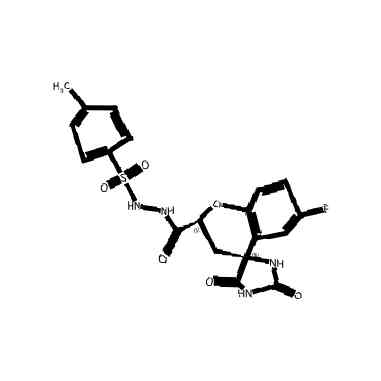 Cc1ccc(S(=O)(=O)NNC(=O)[C@@H]2C[C@]3(NC(=O)NC3=O)c3cc(F)ccc3O2)cc1